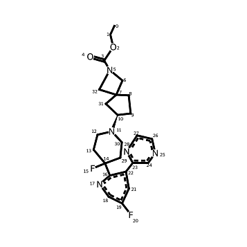 CCOC(=O)N1CC2(CC[C@@H](N3CCC(F)(c4ncc(F)cc4-c4cnccn4)CC3)C2)C1